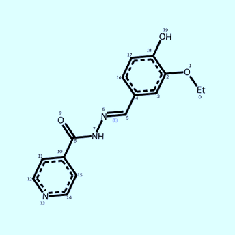 CCOc1cc(/C=N/NC(=O)c2ccncc2)ccc1O